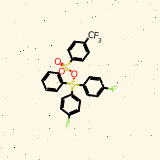 O=S(=O)(OS(c1ccccc1)(c1ccc(F)cc1)c1ccc(F)cc1)c1ccc(C(F)(F)F)cc1